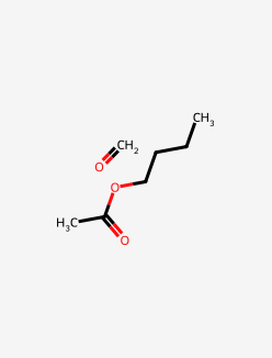 C=O.CCCCOC(C)=O